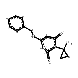 CC1(n2c(=O)cc(NCc3ccccc3)[nH]c2=O)CC1